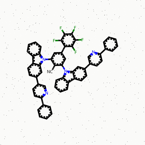 N#Cc1c(-n2c3ccccc3c3ccc(-c4ccc(-c5ccccc5)nc4)cc32)cc(-c2c(F)c(F)c(F)c(F)c2F)cc1-n1c2ccccc2c2ccc(-c3ccc(-c4ccccc4)nc3)cc21